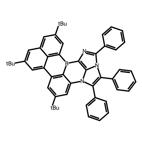 CC(C)(C)c1cc2c3c(c1)-n1c(-c4ccccc4)c(-c4ccccc4)n4c(-c5ccccc5)nc(c14)B3c1cc(C(C)(C)C)cc3cc(C(C)(C)C)cc-2c13